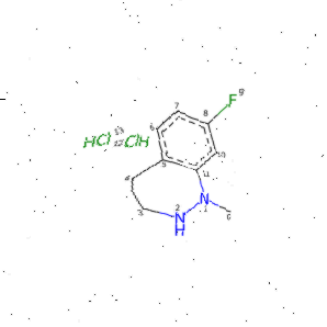 CN1NCCc2ccc(F)cc21.Cl.Cl